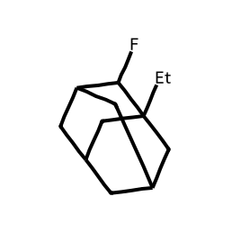 CCC12CC3CC(CC(C3)C1F)C2